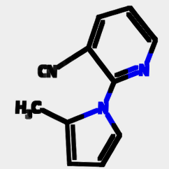 [C-]#[N+]c1cccnc1-n1cccc1C